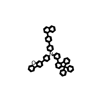 c1ccc(C2(c3ccccc3)c3ccccc3-c3c(-c4cccc(N(c5ccc(-c6ccc(-c7cccc8ccccc78)cc6)cc5)c5ccc(-c6ccc7c(c6)oc6ccccc67)cc5)c4)cccc32)cc1